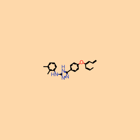 C=C/C=C(\C=C/C)Oc1ccc(-c2nnc(Nc3cccc(C)c3C)[nH]2)cc1